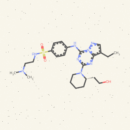 CCc1cnn2c(Nc3ccc(S(=O)(=O)NCCN(C)C)cc3)nc(N3CCCC[C@H]3CCO)nc12